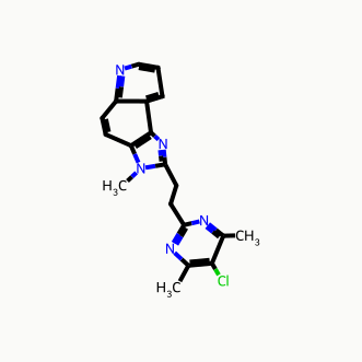 Cc1nc(CCc2nc3c4cccnc4ccc3n2C)nc(C)c1Cl